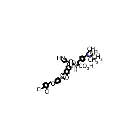 C=C/C=C(\C(C)=C(\C)N)c1ccc(CC(NC(=O)[C@@H]2Cc3cc4c(cc3CN2C(=O)[C@H]2CCNC2)O[C@@H](c2ccc(OCc3ccc(Cl)c(Cl)c3)cc2)CO4)C(=O)O)cc1